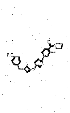 O=C(c1ccc(-c2ccc(OC3CN(Cc4ccc(C(F)(F)F)cc4)C3)cn2)cc1F)N1CCCC1